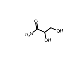 NC(=O)C(O)CO